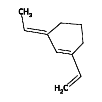 C=CC1=CC(=CC)CCC1